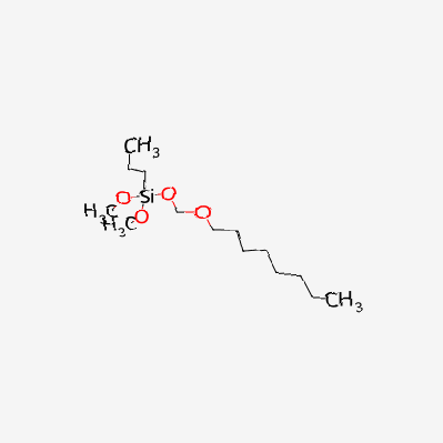 CCCCCCCCOCO[Si](CCC)(OC)OC